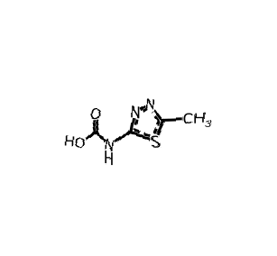 Cc1nnc(NC(=O)O)s1